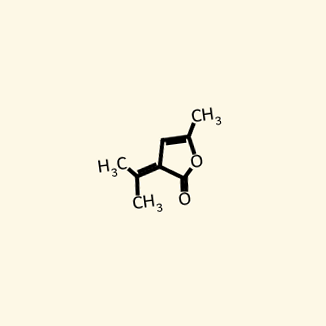 CC1=CC(=C(C)C)C(=O)O1